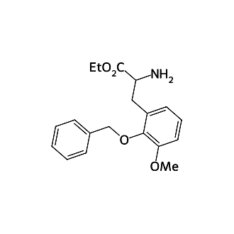 CCOC(=O)C(N)Cc1cccc(OC)c1OCc1ccccc1